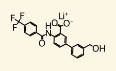 O=C(Nc1ccc(-c2cccc(CO)c2)cc1C(=O)[O-])c1ccc(C(F)(F)F)cc1.[Li+]